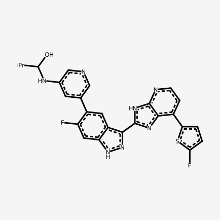 CC(C)C(O)Nc1cncc(-c2cc3c(-c4nc5c(-c6ccc(F)s6)ccnc5[nH]4)n[nH]c3cc2F)c1